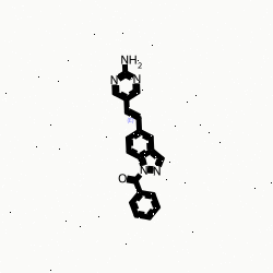 Nc1ncc(/C=C/c2ccc3c(cnn3C(=O)c3ccccc3)c2)cn1